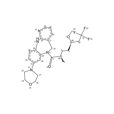 CO[C@H](CC[C@@H](C)C(=O)N1Cc2cccnc2Nc2ccc(N3CCOCC3)cc21)CC(F)(F)F